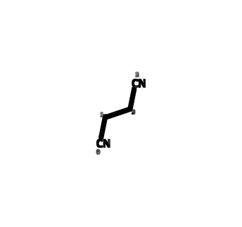 N#C[C]CC#N